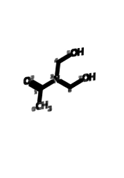 CC(=O)N(CO)CO